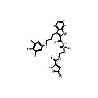 Cc1cc(OCCCc2c(C(=O)NS(=O)(=O)CCNC(=O)c3cc(Br)no3)[nH]c3ccccc23)cc(C)c1Cl